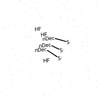 CCCCCCCCCC[S].CCCCCCCCCC[S].CCCCCCCCCC[S].F.F.F